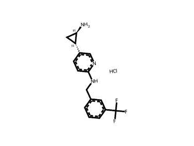 Cl.N[C@@H]1C[C@H]1c1ccc(NCc2cccc(C(F)(F)F)c2)nc1